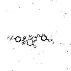 O=C1CCN(S(=O)(=O)c2ccc(C(F)(F)F)cc2)C[C@H]2C[C@@H](Oc3ccc(C(F)(F)F)cn3)CN12